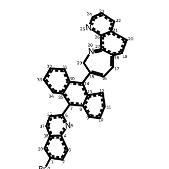 Brc1ccc2nc(-c3c4ccccc4c(C4=CC=c5ccc6cccnc6c5=NC4)c4ccccc34)ccc2c1